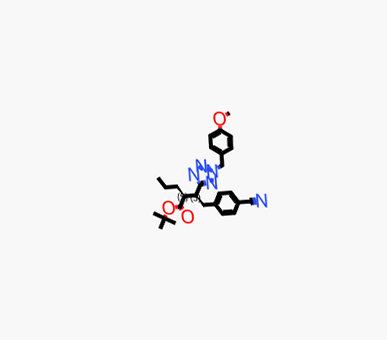 CCC[C@H](C(=O)OC(C)(C)C)[C@H](Cc1ccc(C#N)cc1)c1nnn(Cc2ccc(OC)cc2)n1